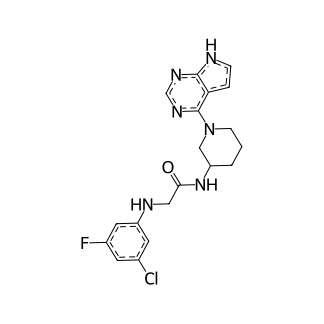 O=C(CNc1cc(F)cc(Cl)c1)NC1CCCN(c2ncnc3[nH]ccc23)C1